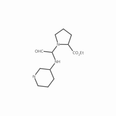 CCOC(=O)C1CCCN1C(C=O)NC1CCC[N]C1